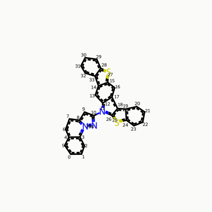 c1ccc2c(c1)ccc1cc(-n3c4cc5c(cc4c4c6ccccc6sc43)sc3ccccc35)nn12